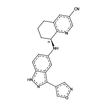 N#Cc1cnc2c(c1)CCC[C@@H]2Nc1ccc2[nH]nc(-c3cnoc3)c2c1